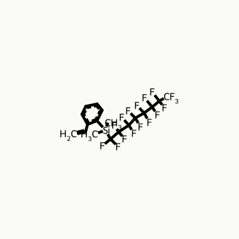 C=Cc1ccccc1[Si](C)(C)C(F)(F)C(F)(F)C(F)(F)C(F)(F)C(F)(F)C(F)(F)C(F)(F)C(F)(F)F